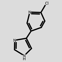 Clc1ccc(-c2c[nH]cn2)cn1